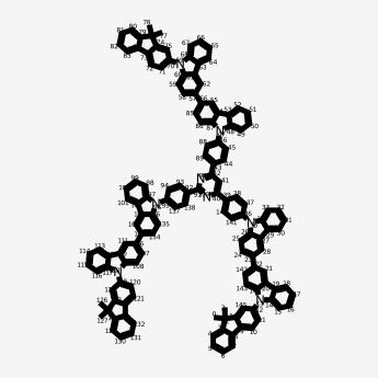 CC1(C)c2ccccc2-c2ccc(-n3c4ccccc4c4cc(-c5ccc6c(c5)c5ccccc5n6-c5ccc(-c6cc(-c7ccc(-n8c9ccccc9c9cc(-c%10ccc%11c(c%10)c%10ccccc%10n%11-c%10ccc%11c(c%10)C(C)(C)c%10ccccc%10-%11)ccc98)cc7)nc(-c7ccc(-n8c9ccccc9c9cc(-c%10ccc%11c(c%10)c%10ccccc%10n%11-c%10ccc%11c(c%10)C(C)(C)c%10ccccc%10-%11)ccc98)cc7)n6)cc5)ccc43)cc21